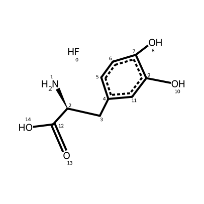 F.N[C@@H](Cc1ccc(O)c(O)c1)C(=O)O